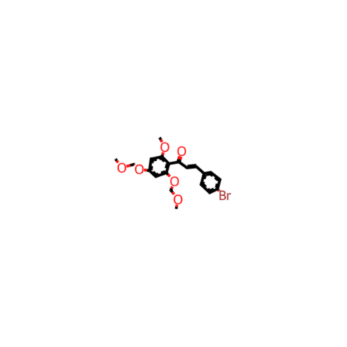 COCOc1cc(OC)c(C(=O)/C=C/c2ccc(Br)cc2)c(OCOC)c1